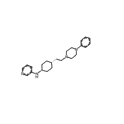 c1ccc(N2CCN(CC[C@H]3CC[C@H](Nc4cccnc4)CC3)CC2)cc1